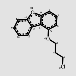 ClCCCOc1cccc2oc3ccccc3c12